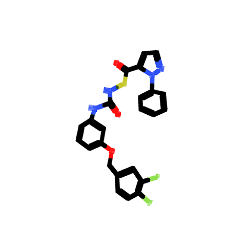 O=C(NSC(=O)c1ccnn1-c1ccccc1)Nc1cccc(OCc2ccc(F)c(F)c2)c1